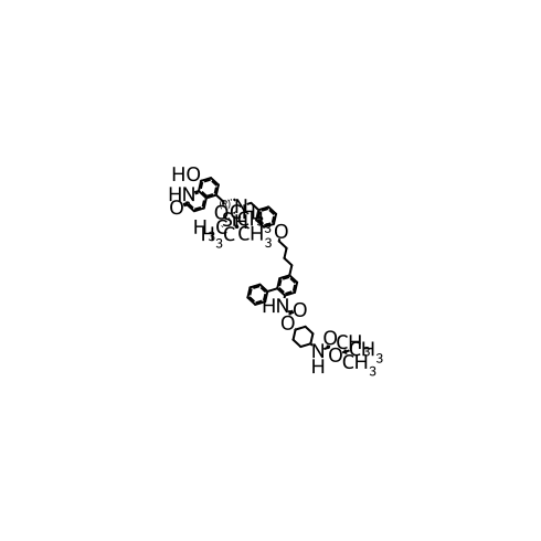 CC(C)(C)OC(=O)NC1CCC(OC(=O)Nc2ccc(CCCCOc3ccc(CNC[C@H](O[Si](C)(C)C(C)(C)C)c4ccc(O)c5[nH]c(=O)ccc45)cc3)cc2-c2ccccc2)CC1